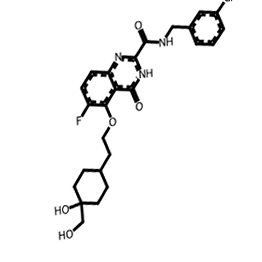 O=C(NCc1cccc(Cl)c1)c1nc2ccc(F)c(OCCC3CCC(O)(CO)CC3)c2c(=O)[nH]1